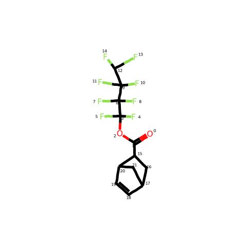 O=C(OC(F)(F)C(F)(F)C(F)(F)C(F)F)C1CC2C=CC1C2